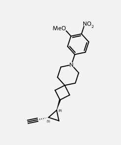 C#C[C@H]1C[C@@H]1C1CC2(CCN(c3ccc([N+](=O)[O-])c(OC)c3)CC2)C1